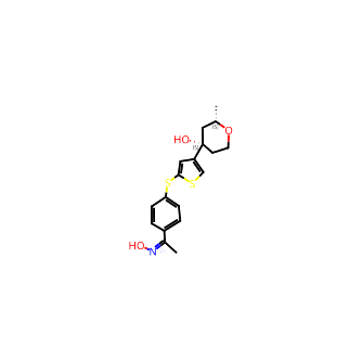 C/C(=N/O)c1ccc(Sc2cc([C@]3(O)CCO[C@@H](C)C3)cs2)cc1